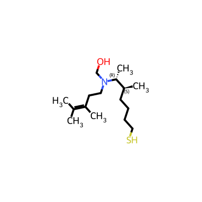 CC(C)=C(C)CCN(CO)[C@H](C)[C@@H](C)CCCCS